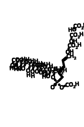 C=CC=CCP(=O)(OC(=O)O)OC(=O)O.O=C(O)O.O=C(O)O.O=C(O)O.O=C(O)O.O=C(O)O.O=C(O)O.O=C(O)O.O=C(O)O.O=C(O)O.O=C(O)O.O=C(O)O.O=C(O)O.O=C(O)O